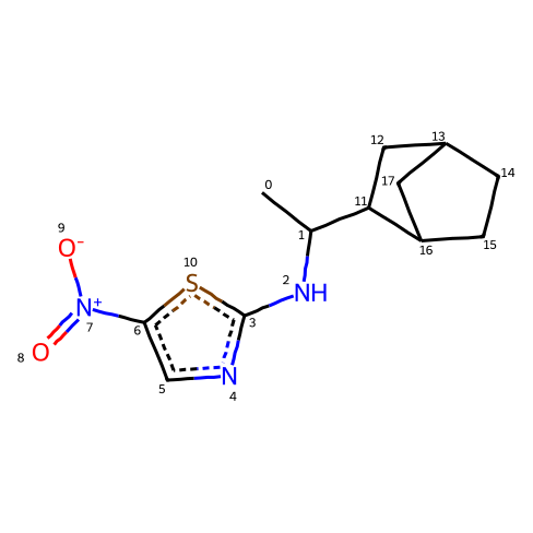 CC(Nc1ncc([N+](=O)[O-])s1)C1CC2CCC1C2